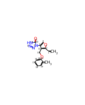 C=Cc1occ(-n2nn[nH]c2=O)c1COc1ccccc1C